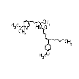 CCCCCC/C(=C\C=C\C(=O)N[C@H](C)CCCc1ccc(C(C)C)nc1)c1ccc(OC)cc1